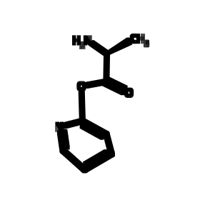 C[C@H](N)C(=O)Oc1ccccn1